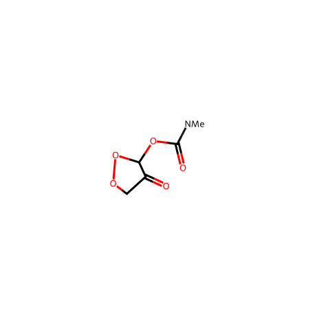 CNC(=O)OC1OOCC1=O